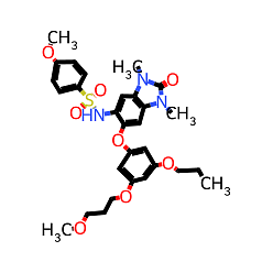 CCCOc1cc(OCCCOC)cc(Oc2cc3c(cc2NS(=O)(=O)c2ccc(OC)cc2)n(C)c(=O)n3C)c1